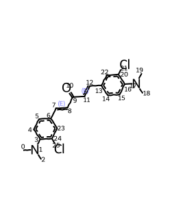 CN(C)c1ccc(/C=C/C(=O)/C=C/c2ccc(N(C)C)c(Cl)c2)cc1Cl